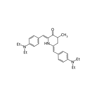 CCN(CC)c1ccc(C=C2CC(C)C(=O)C(=Cc3ccc(N(CC)CC)cc3)N2)cc1